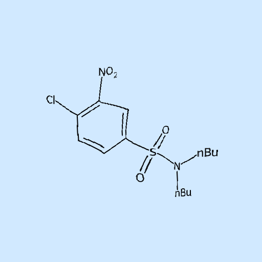 CCCCN(CCCC)S(=O)(=O)c1ccc(Cl)c([N+](=O)[O-])c1